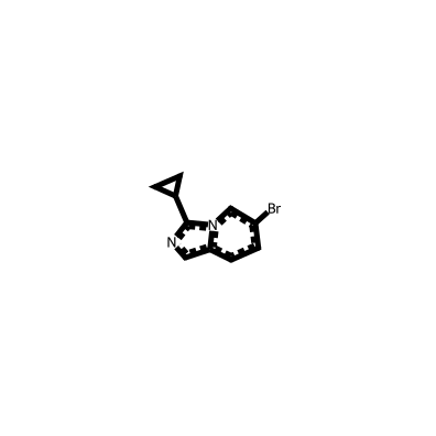 Brc1ccc2cnc(C3CC3)n2c1